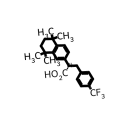 CC1(C)CCC(C)(C)c2cc([C@H](Cc3ccc(C(F)(F)F)cc3)C(=O)O)ccc21